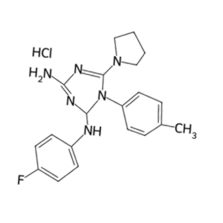 Cc1ccc(N2C(N3CCCC3)=NC(N)=NC2Nc2ccc(F)cc2)cc1.Cl